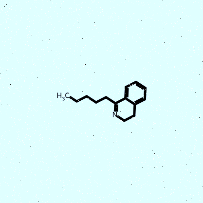 CCCCCC1=NCCc2ccccc21